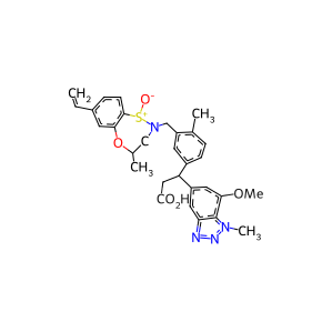 C=Cc1ccc2c(c1)OC(C)CN(Cc1cc(C(CC(=O)O)c3cc(OC)c4c(c3)nnn4C)ccc1C)[S+]2[O-]